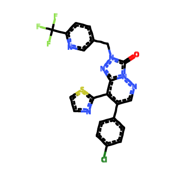 O=c1n(Cc2ccc(C(F)(F)F)nc2)nc2c(-c3nccs3)c(-c3ccc(Cl)cc3)cnn12